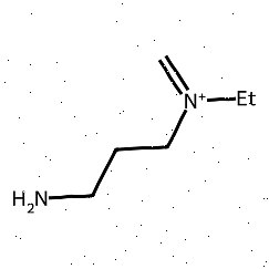 C=[N+](CC)CCCN